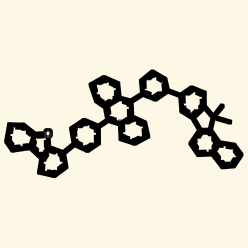 CC1(C)c2ccc(-c3cccc(-c4c5ccccc5c(-c5ccc(-c6cccc7c6oc6ccccc67)cc5)c5ccccc45)c3)cc2-c2ccc3ccccc3c21